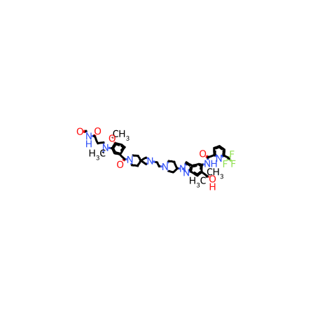 COc1ccc(C(=O)N2CCC3(CC2)CN(CCN2CCC(n4cc5cc(NC(=O)c6cccc(C(F)(F)F)n6)c(C(C)(C)O)cc5n4)CC2)C3)cc1N(C)CCC(=O)NC=O